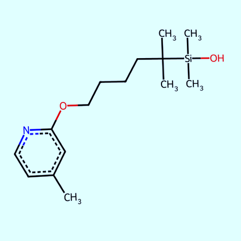 Cc1ccnc(OCCCCC(C)(C)[Si](C)(C)O)c1